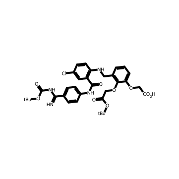 CC(C)(C)OC(=O)COc1c(CNc2ccc(Cl)cc2C(=O)Nc2ccc(C(=N)NC(=O)OC(C)(C)C)cc2)cccc1OCC(=O)O